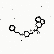 O=C(NCC1CCN(CCCc2ccccc2)CC1)C1CC2C=Cc3cccc(c32)S1